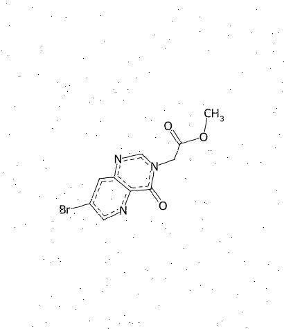 COC(=O)Cn1cnc2cc(Br)cnc2c1=O